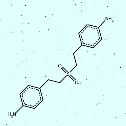 Nc1ccc(CCS(=O)(=O)CCc2ccc(N)cc2)cc1